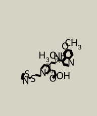 CN[C@@H](CC[C@@H]1CCN(CCSc2nccs2)C[C@@H]1CC(=O)O)c1ccnc2ccc(OC)cc12